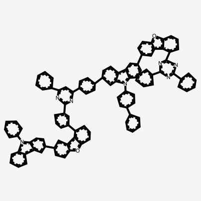 c1ccc(-c2ccc(-n3c4ccc(-c5ccc6oc7cccc(-c8nc(-c9ccccc9)nc(-c9ccccc9)n8)c7c6c5)cc4c4ccc(-c5ccc(-c6cc(-c7ccccc7)nc(-c7cccc(-c8cccc9oc%10ccc(-c%11ccc%12c(c%11)c%11ccccc%11n%12-c%11ccccc%11)cc%10c89)c7)n6)cc5)cc43)cc2)cc1